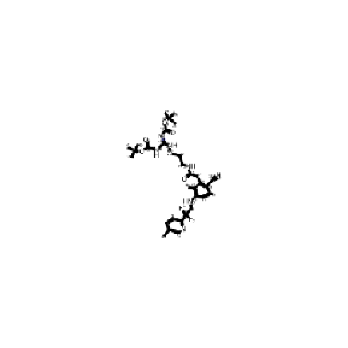 Cc1ccc(C(F)(F)CNc2ccc(C#N)c(CC(=O)NCCON/C(=N\C(=O)OC(C)(C)C)NC(=O)OC(C)(C)C)c2F)nc1